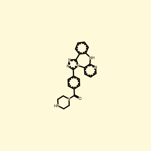 O=C(c1ccc(-c2nnc3n2-c2cccnc2Nc2ccccc2-3)cc1)N1CCNCC1